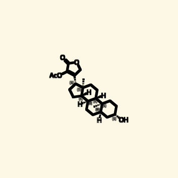 CC(=O)OC1=C([C@H]2CC[C@H]3[C@@H]4CC[C@@H]5C[C@@H](O)CC[C@]5(C)[C@H]4CC[C@]23C)COC1=O